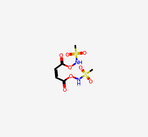 CS(=O)(=O)NOC(=O)/C=C\C(=O)ONS(C)(=O)=O